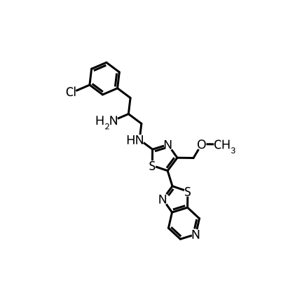 COCc1nc(NCC(N)Cc2cccc(Cl)c2)sc1-c1nc2ccncc2s1